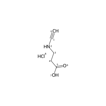 C#CNCCC(=O)O.Cl